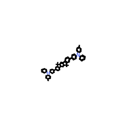 Cc1ccc(N(c2ccccc2)c2ccc(-c3ccc4c(c3)C(C)(C)c3cc5c(cc3-4)C(C)(C)c3cc(-c4ccc(N(c6ccccc6)c6ccc(C)cc6)cc4)ccc3-5)cc2)cc1